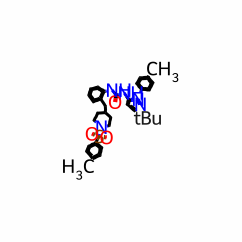 Cc1ccc(-n2nc(C(C)(C)C)cc2NC(=O)Nc2ccccc2CC2CCN(S(=O)(=O)c3ccc(C)cc3)CC2)cc1